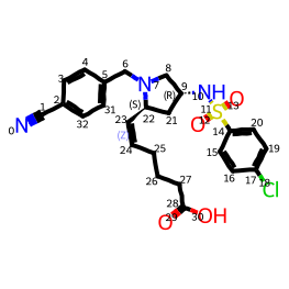 N#Cc1ccc(CN2C[C@H](NS(=O)(=O)c3ccc(Cl)cc3)C[C@H]2/C=C\CCCC(=O)O)cc1